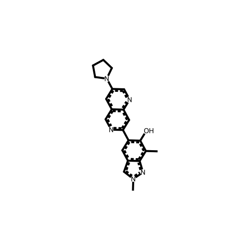 Cc1c(O)c(-c2cc3ncc(N4CCCC4)cc3cn2)cc2cn(C)nc12